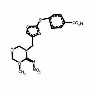 CN1COCN(Cc2cnc(Sc3ccc(C(=O)O)cc3)s2)C1=N[N+](=O)[O-]